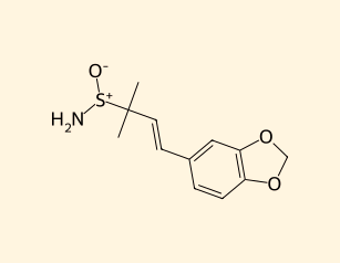 CC(C)(C=Cc1ccc2c(c1)OCO2)[S+](N)[O-]